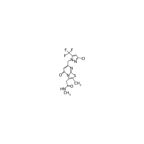 CNC(=O)Cc1c(C)sc2nc(Cn3nc(Cl)cc3C(F)(F)F)cc(=O)n12